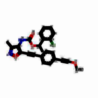 Cc1noc(C#Cc2ccc(C#COC=O)cc2)c1NC(=O)OC(C)c1ccccc1Cl